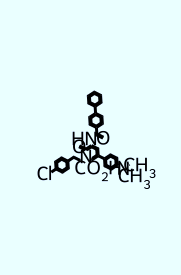 CN(C)c1ccc(-c2cc(NC(=O)c3ccc(-c4ccccc4)cc3)c(=O)n(C(Cc3ccc(Cl)cc3)C(=O)O)c2)cc1